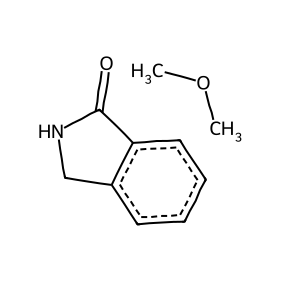 COC.O=C1NCc2ccccc21